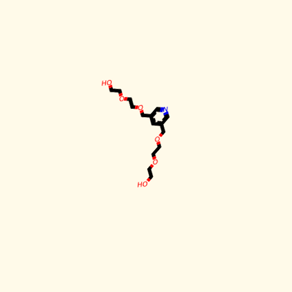 OCCOCCOCc1cncc(COCCOCCO)c1